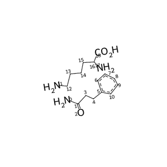 NC(=O)CCc1ccccc1.NCCCCC(N)C(=O)O